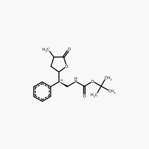 CC1CC([C@@H](CNC(=O)OC(C)(C)C)c2ccccc2)OC1=O